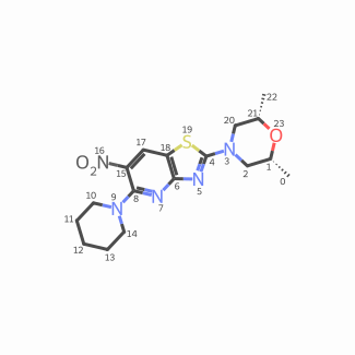 C[C@@H]1CN(c2nc3nc(N4CCCCC4)c([N+](=O)[O-])cc3s2)C[C@H](C)O1